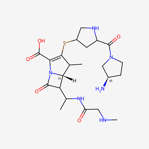 CNCC(=O)NC(C)C1C(=O)N2C(C(=O)O)=C(SC3CNC(C(=O)N4CC[C@@H](N)C4)C3)C(C)[C@H]12